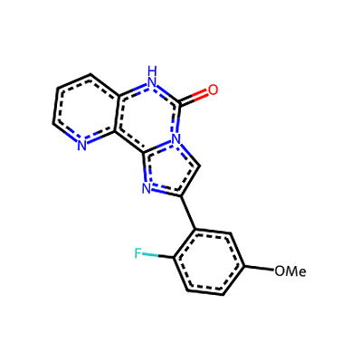 COc1ccc(F)c(-c2cn3c(=O)[nH]c4cccnc4c3n2)c1